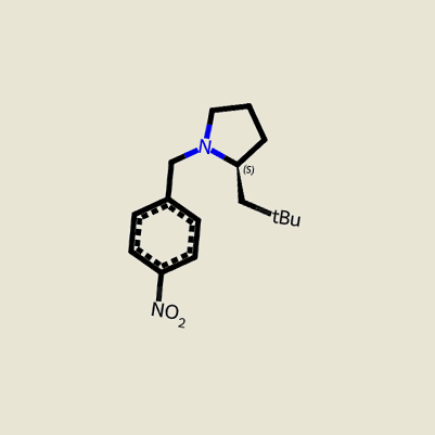 CC(C)(C)C[C@@H]1CCCN1Cc1ccc([N+](=O)[O-])cc1